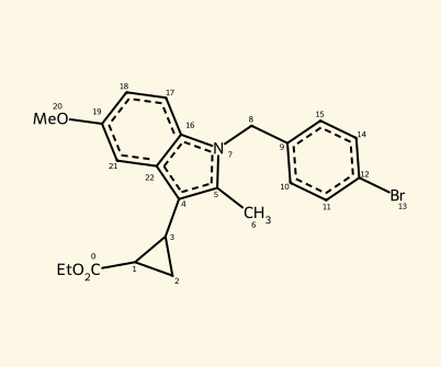 CCOC(=O)C1CC1c1c(C)n(Cc2ccc(Br)cc2)c2ccc(OC)cc12